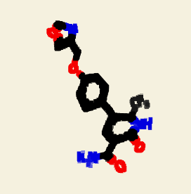 NC(=O)c1cc(-c2ccc(OCc3cocn3)cc2)c(C(F)(F)F)[nH]c1=O